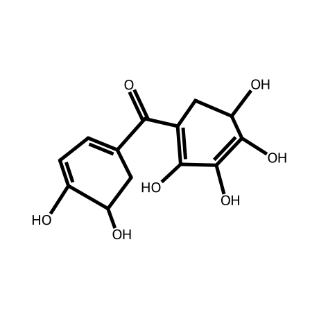 O=C(C1=CC=C(O)C(O)C1)C1=C(O)C(O)=C(O)C(O)C1